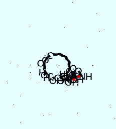 C[C@@H]1C/C=C/C=C/C=C/C=C/[C@H](O[C@@H]2O[C@@H]3NC3C(O)C2O)C[C@@H]2O[C@](O)(C[C@@H](O)C[C@H]3O[C@@H]3/C=C/C(=O)O1)C[C@H](O)[C@H]2C(=O)O